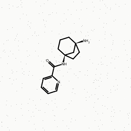 N[C@@]12CCC[C@@](NC(=O)c3ccccn3)(CC1)C2